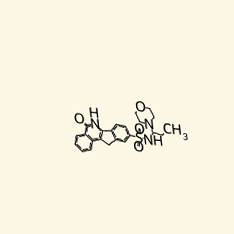 CCC(NS(=O)(=O)c1ccc2c(c1)Cc1c-2[nH]c(=O)c2ccccc12)N1CCOCC1